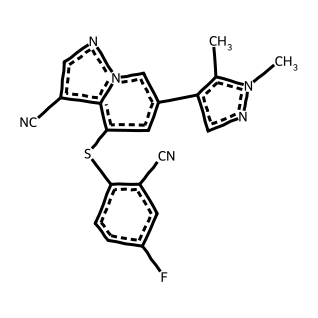 Cc1c(-c2cc(Sc3ccc(F)cc3C#N)c3c(C#N)cnn3c2)cnn1C